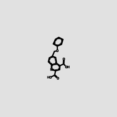 O=C(O)c1cc(C(=O)O)c2cc(COc3ccccc3)ccc2n1